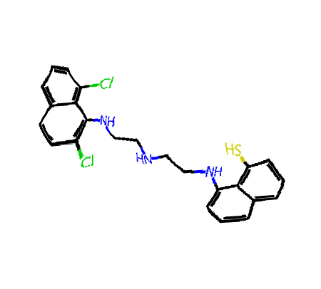 Sc1cccc2cccc(NCCNCCNc3c(Cl)ccc4cccc(Cl)c34)c12